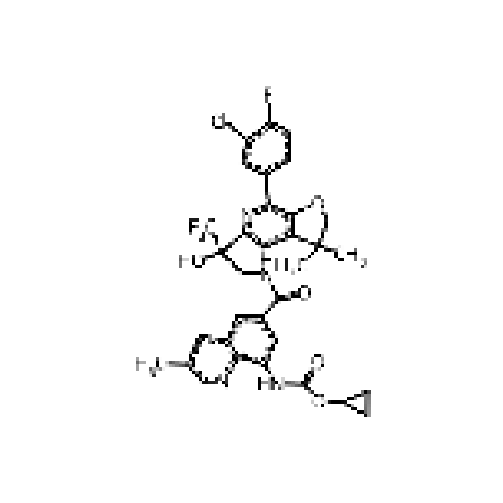 Cc1cnc2c(NC(=O)OC3CC3)cc(C(=O)NC[C@](O)(c3cc4c(c(-c5ccc(F)c(Cl)c5)n3)OCC4(C)C)C(F)(F)F)cc2c1